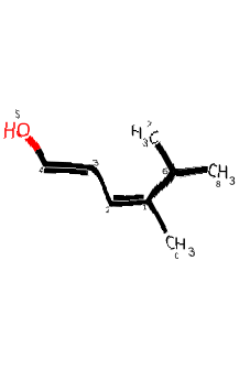 CC(=CC=CO)C(C)C